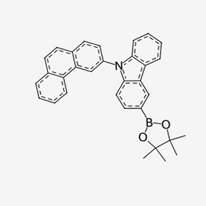 CC1(C)OB(c2ccc3c(c2)c2ccccc2n3-c2ccc3ccc4ccccc4c3c2)OC1(C)C